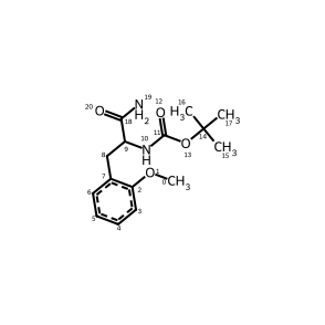 COc1ccccc1CC(NC(=O)OC(C)(C)C)C(N)=O